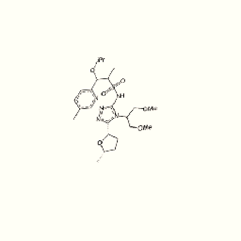 COCC(COC)n1c(NS(=O)(=O)C(C)C(OC(C)C)c2ccc(C)cn2)nnc1[C@@H]1CC[C@H](C)O1